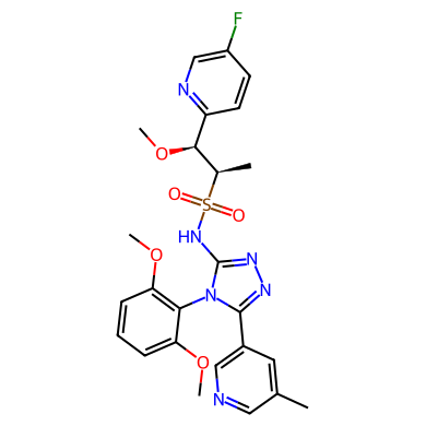 COc1cccc(OC)c1-n1c(NS(=O)(=O)[C@H](C)[C@@H](OC)c2ccc(F)cn2)nnc1-c1cncc(C)c1